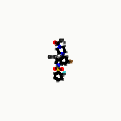 O=Cc1cn(S(=O)(=O)c2ccccc2F)c2cc(Br)cc(N3CCN(C(=O)C(F)(F)F)CC3)c12